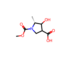 COC(=O)N1CC(C(=O)O)C(O)[C@H]1C